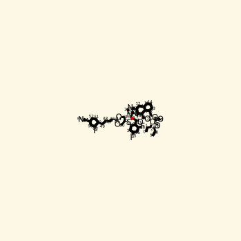 C=CCOP(=O)(OCC=C)OCc1cccc2cccc(C(=O)O[C@@](Cn3cncn3)(c3ccc(F)cc3F)[C@@H](C)S[C@H]3CO[C@H](/C=C/C=C/c4ccc(C#N)cc4F)OC3)c12